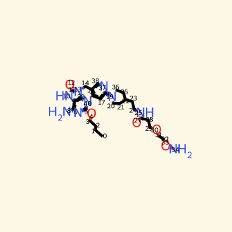 CCCCOc1nc(N)c2[nH]c(=O)n(Cc3ccc(N4CCC(CCNC(=O)CCOCCON)CC4)nc3)c2n1